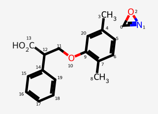 C1=NO1.Cc1ccc(C)c(OCC(C(=O)O)c2ccccc2)c1